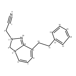 N#CCN1CN2C=CC=C(CCc3ccccc3)C2=N1